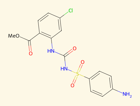 COC(=O)c1ccc(Cl)cc1NC(=O)NS(=O)(=O)c1ccc(N)cc1